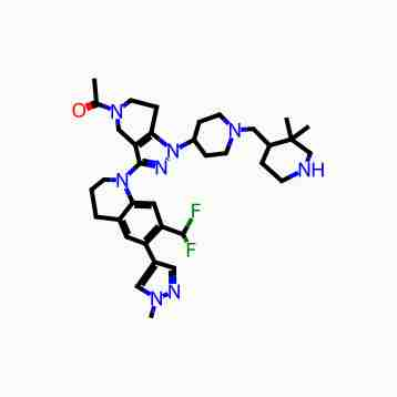 CC(=O)N1CCc2c(c(N3CCCc4cc(-c5cnn(C)c5)c(C(F)F)cc43)nn2C2CCN(CC3CCNCC3(C)C)CC2)C1